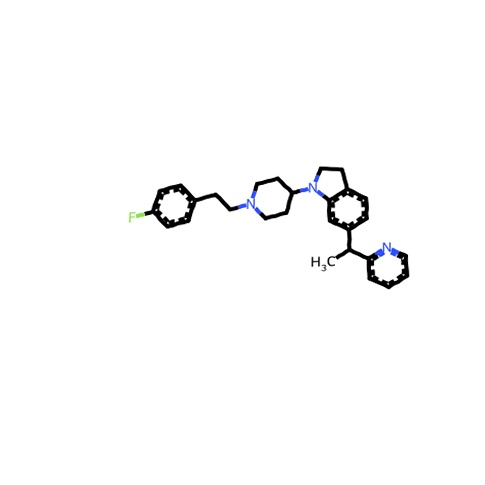 CC(c1ccc2c(c1)N(C1CCN(CCc3ccc(F)cc3)CC1)CC2)c1ccccn1